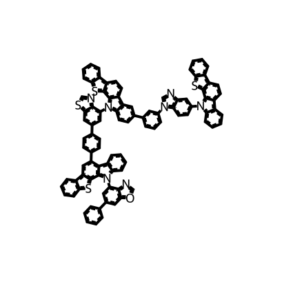 c1ccc(-c2cc(-n3c4ccccc4c4c(-c5ccc(-c6cc(-n7c8ccc(-c9cccc(-n%10cnc%11cc(-n%12c%13ccccc%13c%13ccc%14c%15ccccc%15sc%14c%13%12)ccc%11%10)c9)cc8c8ccc9c%10ccccc%10sc9c87)c7ncsc7c6)cc5)cc5c6ccccc6sc5c43)c3ncoc3c2)cc1